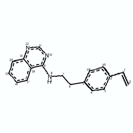 C=Cc1ccc(CCNc2ncnc3ccccc23)cc1